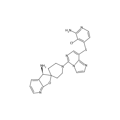 Nc1nccc(Sc2cnc(N3CCC4(CC3)Oc3ncccc3[C@H]4N)n3ccnc23)c1Cl